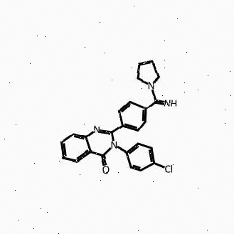 N=C(c1ccc(-c2nc3ccccc3c(=O)n2-c2ccc(Cl)cc2)cc1)N1CCCC1